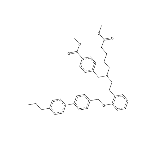 CCCc1ccc(-c2ccc(COc3ccccc3CCN(CCCCC(=O)OC)Cc3ccc(C(=O)OC)cc3)cc2)cc1